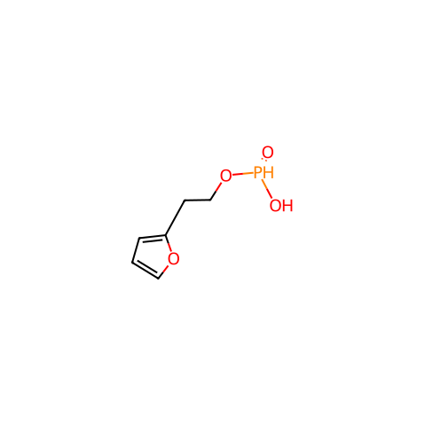 O=[PH](O)OCCc1ccco1